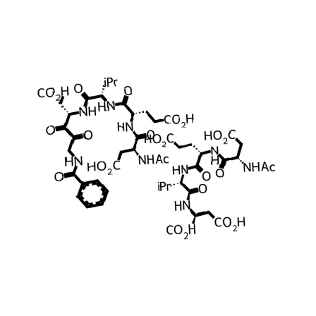 CC(=O)N[C@@H](CC(=O)O)C(=O)N[C@@H](CCC(=O)O)C(=O)N[C@H](C(=O)N[C@@H](CC(=O)O)C(=O)C(=O)CNC(=O)c1ccccc1)C(C)C.CC(=O)N[C@@H](CC(=O)O)C(=O)N[C@@H](CCC(=O)O)C(=O)N[C@H](C(=O)N[C@@H](CC(=O)O)C(=O)O)C(C)C